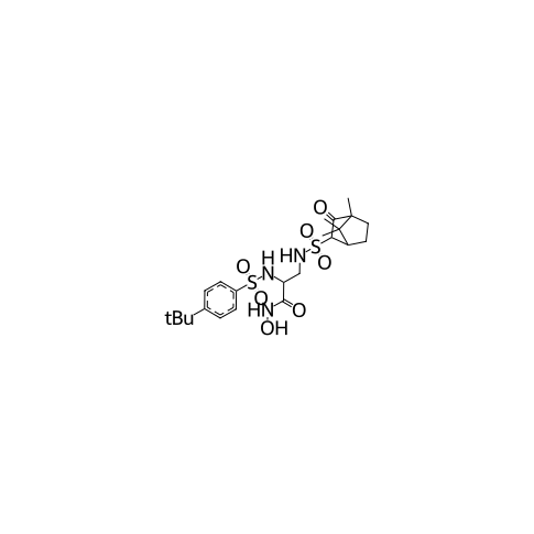 CC(C)(C)c1ccc(S(=O)(=O)NC(CNS(=O)(=O)C2C(=O)C3(C)CCC2C3(C)C)C(=O)NO)cc1